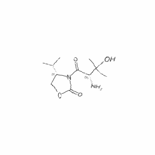 CC(C)[C@H]1COC(=O)N1C(=O)[C@@H](N)C(C)(C)O